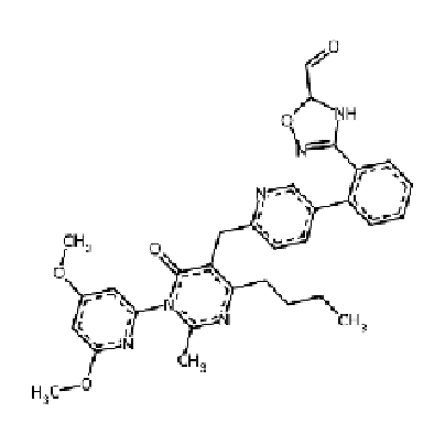 CCCCc1nc(C)n(-c2cc(OC)cc(OC)n2)c(=O)c1Cc1ccc(-c2ccccc2C2=NOC(C=O)N2)cn1